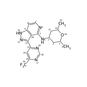 CC1CC(Nc2nccc3[nH]nc(-c4cc(C(F)(F)F)ncn4)c23)CC(C)O1